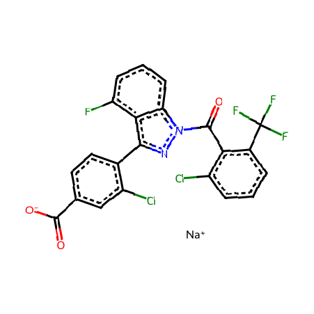 O=C([O-])c1ccc(-c2nn(C(=O)c3c(Cl)cccc3C(F)(F)F)c3cccc(F)c23)c(Cl)c1.[Na+]